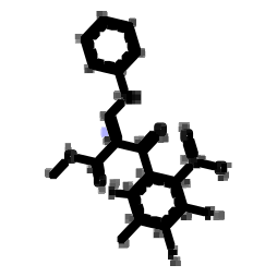 COC(=O)/C(=C/Nc1ccccc1)C(=O)c1c(F)c(C)c(F)c(F)c1[N+](=O)[O-]